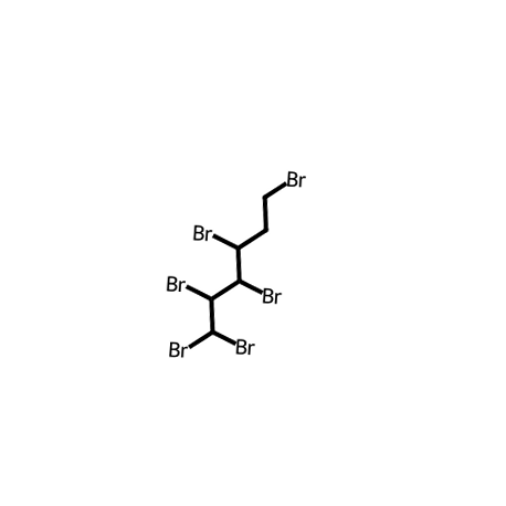 BrCCC(Br)C(Br)C(Br)C(Br)Br